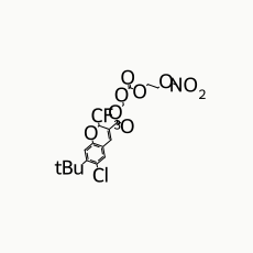 CC(C)(C)c1cc2c(cc1Cl)C=C(C(=O)OCOC(=O)OCCO[N+](=O)[O-])C(C(F)(F)F)O2